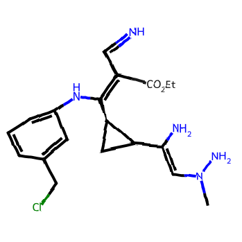 CCOC(=O)/C(C=N)=C(/Nc1cccc(CCl)c1)[C@@H]1CC1/C(N)=C/N(C)N